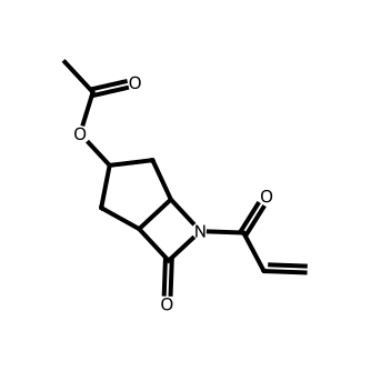 C=CC(=O)N1C(=O)C2CC(OC(C)=O)CC21